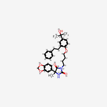 CC1(c2ccc3c(c2)OCO3)NC(=O)N(CCCCOc2ccc(C(O)(C(F)(F)F)C(F)(F)F)cc2CCc2ccccc2)C1=O